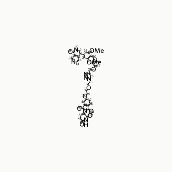 COc1cc(-c2cn(C)c(=O)c3cnccc23)cc(OC)c1CN1CCC(OCc2cn(CCOCCOc3ccc4c(c3)C(=O)N(C3CCC(=O)NC3=O)C4=O)nn2)C1